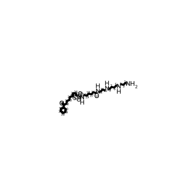 NCCCNCCCCNCCCNC(=O)CCCCCNS(=O)(=O)c1ccc(CCCCC(=O)c2ccccc2)s1